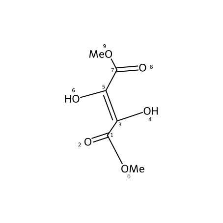 COC(=O)C(O)=C(O)C(=O)OC